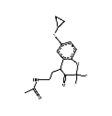 CC(=O)NCCC1C(=O)C(F)(F)Oc2ccc(NC3CC3)cc21